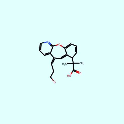 CC(C)(C(=O)O)C1C=CC=C2Oc3ncccc3C(=CCCBr)C=C21